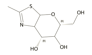 CC1=NC2C(O[C@H](CO)C(O)[C@@H]2O)S1